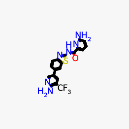 Nc1cccc(C(=O)Nc2nc3ccc(-c4cnc(N)c(C(F)(F)F)c4)cc3s2)n1